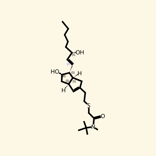 CCCCC[C@H](O)/C=C/[C@@H]1[C@H]2CC(CCSCC(=O)N(C)C(C)(C)C)=C[C@H]2C[C@H]1O